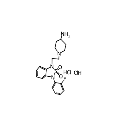 Cl.Cl.NC1CCN(CCN2c3ccccc3N(c3ccccc3F)S2(=O)=O)CC1